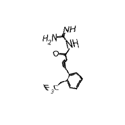 N=C(N)NC(=O)C=Cc1ccccc1CC(F)(F)F